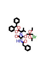 CCOC(CBr)(CO[C@@H]1[C@H](NC(=O)Cc2ccccc2)C(=O)N1C(C(=O)OC(c1ccccc1)c1ccccc1)=C(C)C)OCC